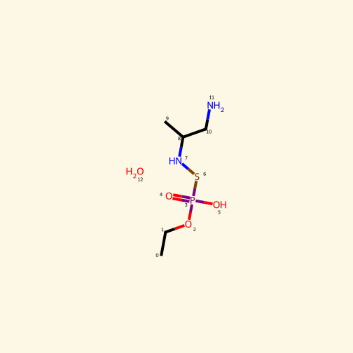 CCOP(=O)(O)SNC(C)CN.O